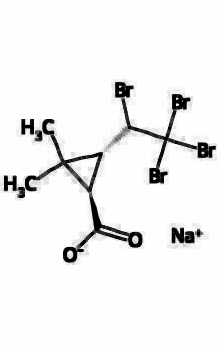 CC1(C)[C@H](C(=O)[O-])[C@H]1C(Br)C(Br)(Br)Br.[Na+]